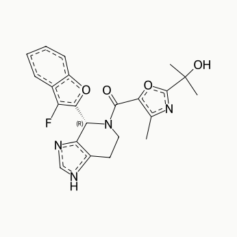 Cc1nc(C(C)(C)O)oc1C(=O)N1CCc2[nH]cnc2[C@@H]1c1oc2ccccc2c1F